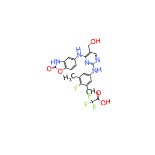 Cc1cc(Nc2ncc(CO)c(Nc3ccc4oc(=O)[nH]c4c3)n2)cc(C)c1F.O=C(O)C(F)(F)F